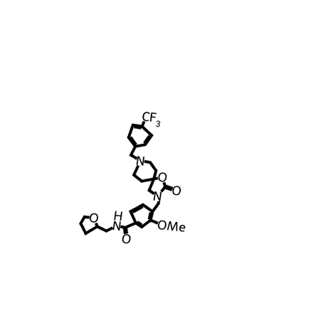 COc1cc(C(=O)NCC2CCCO2)ccc1CN1CC2(CCN(Cc3ccc(C(F)(F)F)cc3)CC2)OC1=O